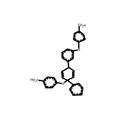 O=C(O)c1ccc(Oc2cccc(C3C=CC(Oc4ccc(C(=O)O)cc4)(c4ccccc4)C=C3)c2)cc1